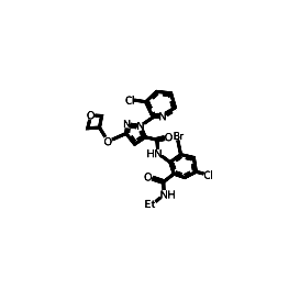 CCNC(=O)c1cc(Cl)cc(Br)c1NC(=O)c1cc(OC2COC2)nn1-c1ncccc1Cl